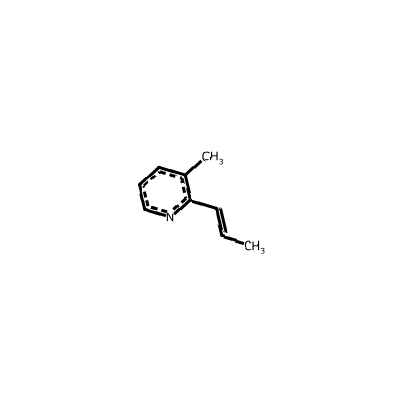 C/C=C/c1ncccc1C